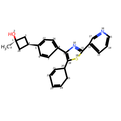 C[C@]1(O)C[C@@H](c2ccc(-c3nc(-c4cccnc4)sc3C3C=CC=CC3)cc2)C1